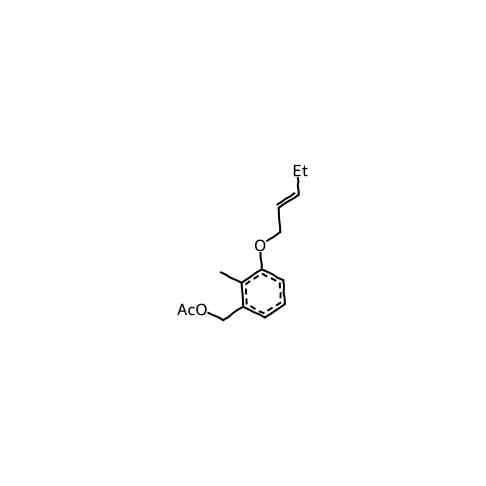 CCC=CCOc1cccc(COC(C)=O)c1C